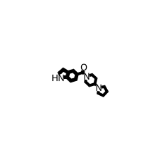 O=C(c1ccc2[nH]ccc2c1)N1CCC(N2CCCC2)CC1